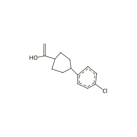 C=C(O)C1CCC(c2ccc(Cl)cc2)CC1